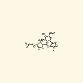 COc1cc(-c2noc(C)n2)c(C(=O)c2ccc(OCC3CC3)cc2)c([N+](=O)[O-])c1O